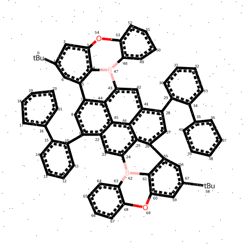 CC(C)(C)c1cc2c3c(c1)-c1cc(-c4ccccc4-c4ccccc4)c4cc5c6c(cc(-c7ccccc7-c7ccccc7)c7cc(c1c4c76)B3c1ccccc1O2)-c1cc(C(C)(C)C)cc2c1B5c1ccccc1O2